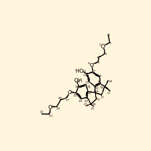 CCOCCCOc1cc2c(cc1O)C1(CC2(C)C)CC(C)(C)c2cc(OCCCOCC)c(O)cc21